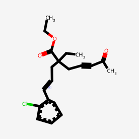 CCOC(=O)C(CC)(CC#CC(C)=O)C/C=C/c1ccccc1Cl